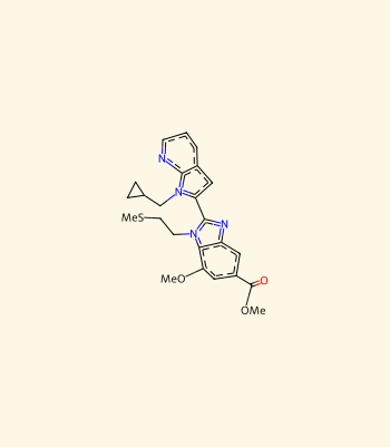 COC(=O)c1cc(OC)c2c(c1)nc(-c1cc3cccnc3n1CC1CC1)n2CCSC